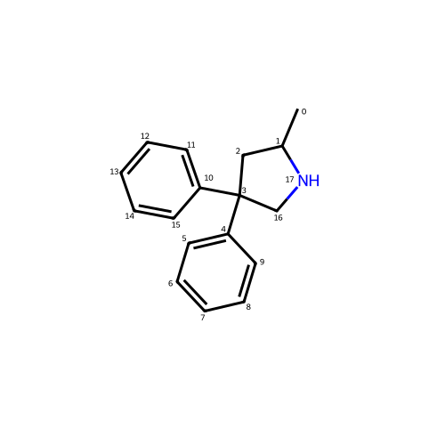 CC1CC(c2ccccc2)(c2ccccc2)CN1